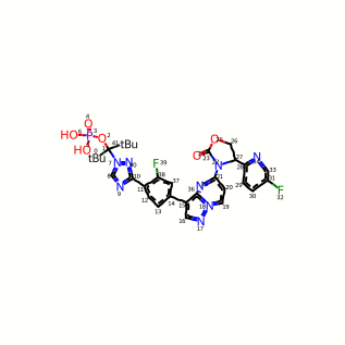 CC(C)(C)C(OP(=O)(O)O)(n1cnc(-c2ccc(-c3cnn4ccc(N5C(=O)OCC5c5ccc(F)cn5)nc34)cc2F)n1)C(C)(C)C